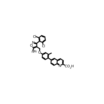 CCCc1onc(-c2c(Cl)cccc2Cl)c1COc1ccc(-c2ccc3nc(C(=O)O)ccc3c2)c(C)c1